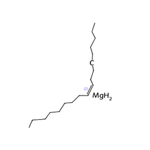 CCCCCCCC/C=C\CCCCCCCC.[MgH2]